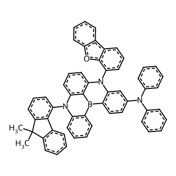 CC1(C)c2ccccc2-c2c(N3c4ccccc4B4c5ccc(N(c6ccccc6)c6ccccc6)cc5N(c5cccc6c5oc5ccccc56)c5cccc3c54)cccc21